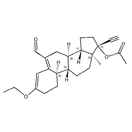 C#C[C@]1(OC(C)=O)CC[C@H]2[C@@H]3CC(C=O)=C4C=C(OCC)CC[C@@H]4[C@H]3CC[C@@]21C